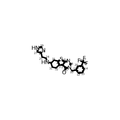 O=c1c2c3c(sc2ncn1Cc1cccc(C(F)(F)F)c1)CC(NCCc1c[nH]cn1)CC3